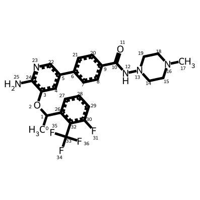 CC(Oc1cc(-c2ccc(C(=O)NN3CCN(C)CC3)cc2)cnc1N)c1cccc(F)c1C(F)(F)F